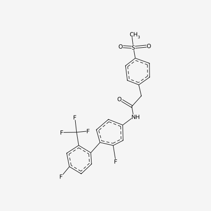 CS(=O)(=O)c1ccc(CC(=O)Nc2ccc(-c3ccc(F)cc3C(F)(F)F)c(F)c2)cc1